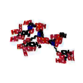 CC1C(OCCCCC(=O)N2C[C@H](O)C[C@H]2COP(=O)(O)O[C@@H]2C[C@@H](COP(=O)(O)O[C@@H]3C[C@@H](COP(=O)(O)OC(C)(C)C)N(C(=O)CCCCOC4OC(CO)C(O)C(O)C4C)C3)N(C(=O)CCCCOC3OC(CO)C(O)C(O)C3C)C2)OC(CO)C(O)C1O